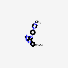 COc1[c]ccc(-c2cn(C3CCC(N4CCN(C)CC4)CC3)c3ncnc(N)c23)c1